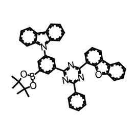 CC1(C)OB(c2cc(-c3nc(-c4ccccc4)nc(-c4cccc5c4oc4ccccc45)n3)cc(-n3c4ccccc4c4ccccc43)c2)OC1(C)C